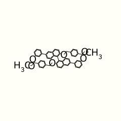 COC(=O)c1ccc(COc2ccc3cc(-c4ccccc4)ccc3c2-c2c(OCc3ccc(C(=O)OC)cc3)ccc3cc(-c4ccccc4)ccc23)cc1